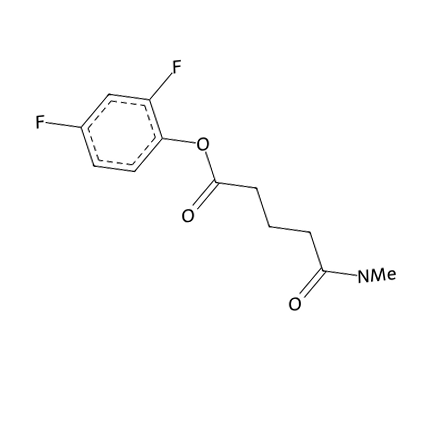 CNC(=O)CCCC(=O)Oc1ccc(F)cc1F